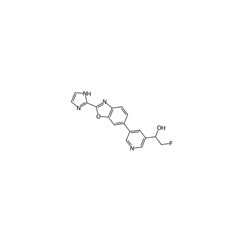 OC(CF)c1cncc(-c2ccc3nc(-c4ncc[nH]4)oc3c2)c1